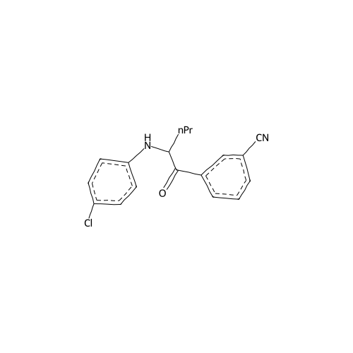 CCCC(Nc1ccc(Cl)cc1)C(=O)c1cccc(C#N)c1